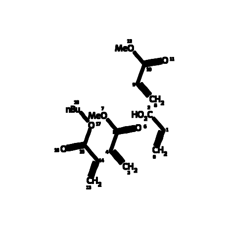 C=CC(=O)O.C=CC(=O)OC.C=CC(=O)OC.C=CC(=O)OCCCC